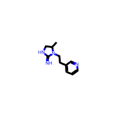 CC1CNC(=N)N1CCc1cccnc1